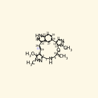 Cc1c2c(nn1C)CNC[C@H](C)Oc1c(cnn1C)-c1ccc3[nH]nc(c3c1)/C=C/2